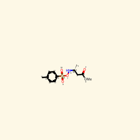 COC(=O)C[C@@H](C)NOS(=O)(=O)c1ccc(C)cc1